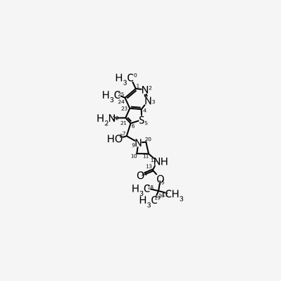 Cc1nnc2sc(C(O)N3CC(NC(=O)OC(C)(C)C)C3)c(N)c2c1C